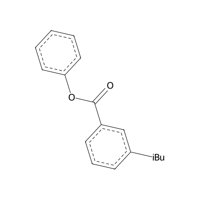 CCC(C)c1cccc(C(=O)Oc2ccccc2)c1